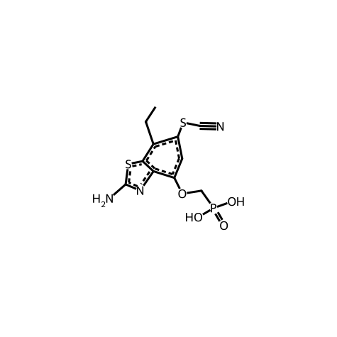 CCc1c(SC#N)cc(OCP(=O)(O)O)c2nc(N)sc12